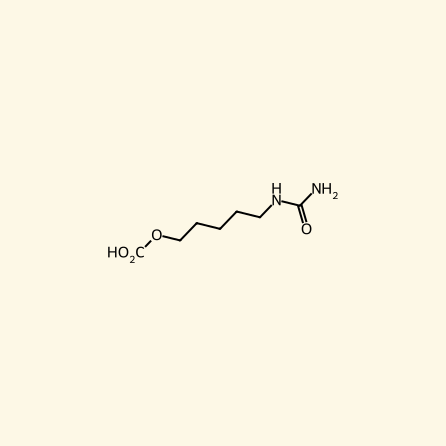 NC(=O)NCCCCCOC(=O)O